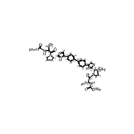 COC(=O)NC(C(=O)N1CCC[C@H]1c1ncc(-c2ccc(-c3ccc(-c4cnc([C@@H]5[C@H](O)CCN5C(=O)[C@@H](NC(=O)OC)C(C)C)[nH]4)cc3)cc2)[nH]1)C(C)C